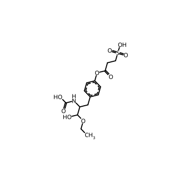 CCOC(O)C(Cc1ccc(OC(=O)CCS(=O)(=O)O)cc1)NC(=O)O